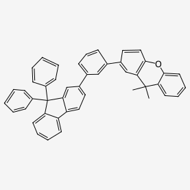 CC1(C)c2ccccc2Oc2ccc(-c3cccc(-c4ccc5c(c4)C(c4ccccc4)(c4ccccc4)c4ccccc4-5)c3)cc21